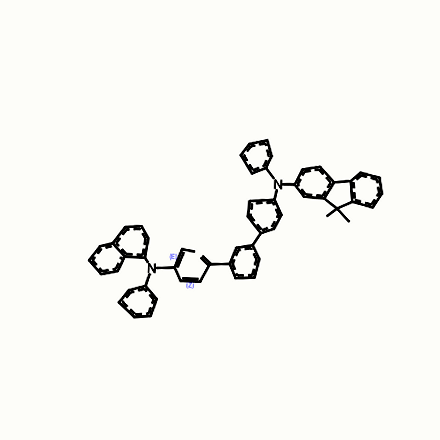 C=C(/C=C\C(=C/C)N(c1ccccc1)c1cccc2ccccc12)c1cccc(-c2ccc(N(c3ccccc3)c3ccc4c(c3)C(C)(C)c3ccccc3-4)cc2)c1